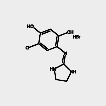 Br.Oc1cc(O)c(N=C2NCCN2)cc1Cl